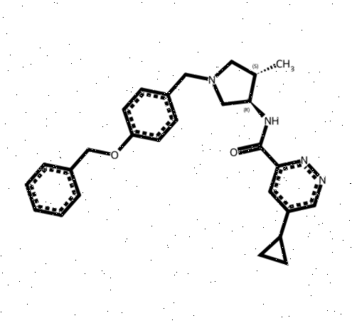 C[C@H]1CN(Cc2ccc(OCc3ccccc3)cc2)C[C@@H]1NC(=O)c1cc(C2CC2)cnn1